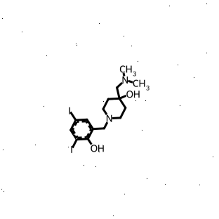 CN(C)CC1(O)CCN(Cc2cc(I)cc(I)c2O)CC1